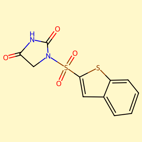 O=C1CN(S(=O)(=O)c2cc3ccccc3s2)C(=O)N1